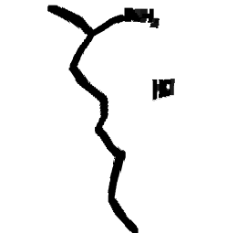 CCCCCCC(C)N.Cl